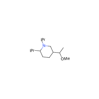 COC(C)C1CCC(C(C)C)N(C(C)C)C1